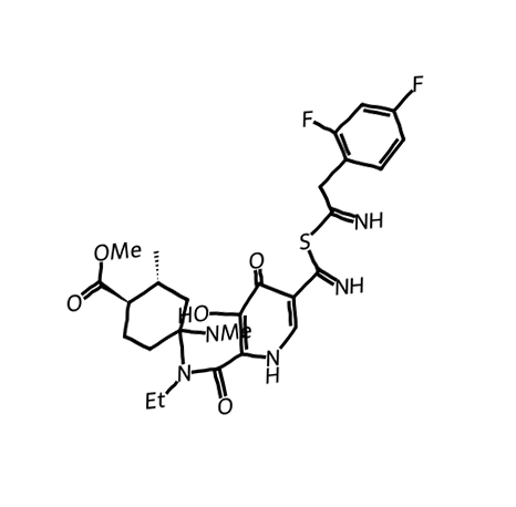 CCN(C(=O)c1[nH]cc(C(=N)SC(=N)Cc2ccc(F)cc2F)c(=O)c1O)C1(NC)CC[C@@H](C(=O)OC)[C@H](C)C1